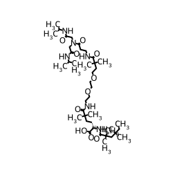 CCC(C)(C)CC(C)(C)C(=O)N[C@@H](CCC(C)(C)C(=O)NCCOCCOCCC(C)(C)C(=O)NCCC(=O)N(CC(=O)NC(C)C)CC(=O)NC(C)C)C(=O)O